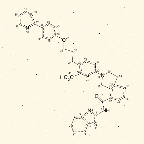 O=C(Nc1nc2ccccc2s1)c1cccc2c1CN(c1ccc(CCCOc3ccc(-c4ncccn4)cc3)c(C(=O)O)n1)CC2